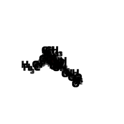 CCN(CC)c1ccc2c(-c3ccccc3C(=O)N3CCCC3C(=O)NC(CS(=O)(=O)O)C(=O)NCCCCCC(=O)NCCOCCN3C(=O)C=CC3=O)c3ccc(N(CC)CC)cc3[o+]c2c1